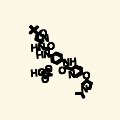 CC(C)N1CC[C@H](Oc2ccc(C(=O)Nc3ccc(NC(=O)Nc4cc(C(C)(C)C)on4)cc3)nc2)C1.CS(=O)(=O)O